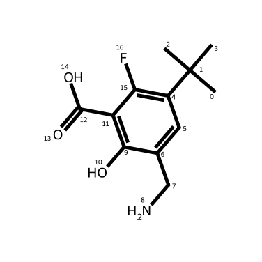 CC(C)(C)c1cc(CN)c(O)c(C(=O)O)c1F